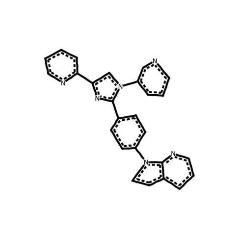 c1ccc(-c2cn(-c3cccnc3)c(-c3ccc(-n4ccc5cccnc54)cc3)n2)nc1